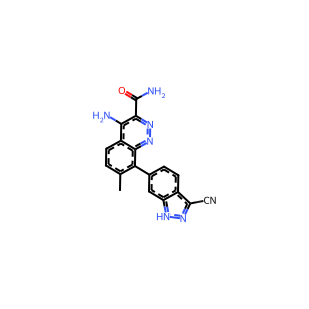 Cc1ccc2c(N)c(C(N)=O)nnc2c1-c1ccc2c(C#N)n[nH]c2c1